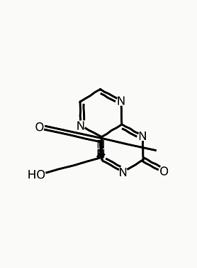 O=C1N=C2N=CC=NC23NC(=O)C(O)=NC3=N1